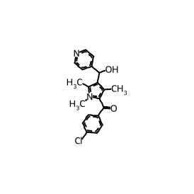 Cc1c(C(O)c2ccncc2)c(C)n(C)c1C(=O)c1ccc(Cl)cc1